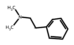 CN(C)C[C]c1ccccc1